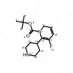 CC(C)(C)OC(=O)N1CC=CC(F)=C1C1CCNCC1